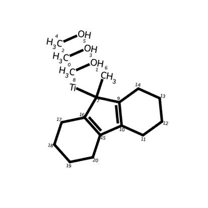 CO.CO.CO.C[C]1([Ti])C2=C(CCCC2)C2=C1CCCC2